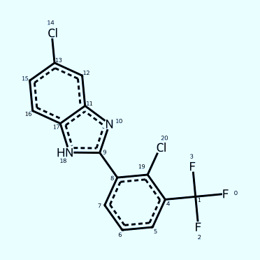 FC(F)(F)c1cccc(-c2nc3cc(Cl)ccc3[nH]2)c1Cl